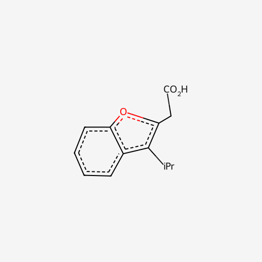 CC(C)c1c(CC(=O)O)oc2ccccc12